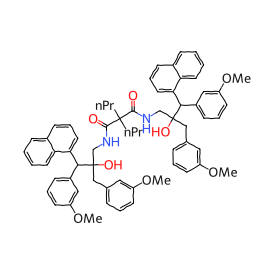 CCCC(CCC)(C(=O)NCC(O)(Cc1cccc(OC)c1)C(c1cccc(OC)c1)c1cccc2ccccc12)C(=O)NCC(O)(Cc1cccc(OC)c1)C(c1cccc(OC)c1)c1cccc2ccccc12